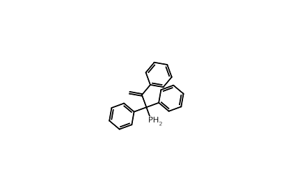 C=C(c1ccccc1)C(P)(c1ccccc1)c1ccccc1